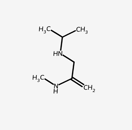 C=C(CNC(C)C)NC